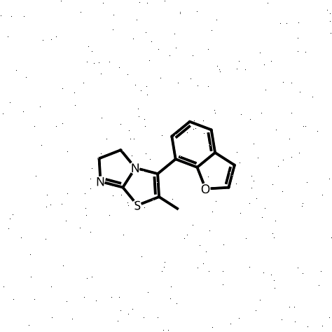 CC1=C(c2cccc3ccoc23)N2CCN=C2S1